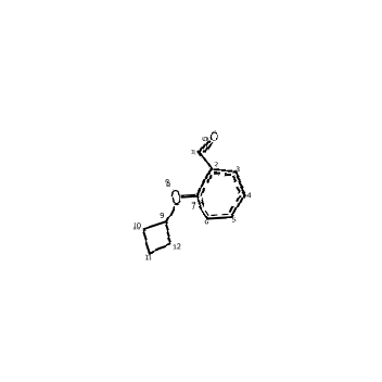 O=Cc1ccccc1OC1CCC1